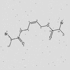 CC(Br)C(=O)OC/C=C\COC(=O)C(C)Br